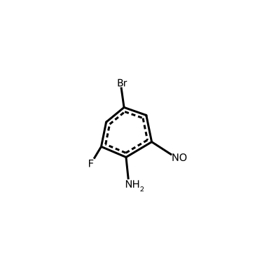 Nc1c(F)cc(Br)cc1N=O